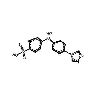 Cl.O=S(=O)(O)c1ccc(Oc2ccc(-n3cnnc3)cc2)cc1